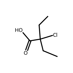 CCC(Cl)(CC)C(=O)O